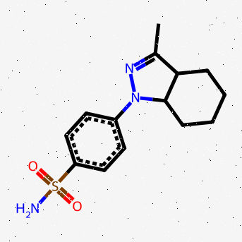 CC1=NN(c2ccc(S(N)(=O)=O)cc2)C2CCCCC12